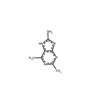 Cc1nc(C)c2[nH]c([SiH2])nc2n1